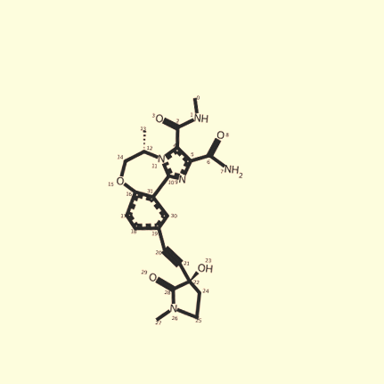 CNC(=O)c1c(C(N)=O)nc2n1[C@@H](C)COc1ccc(C#C[C@]3(O)CCN(C)C3=O)cc1-2